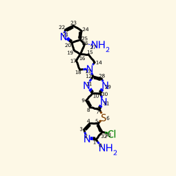 Nc1nccc(Sc2ccc3nc(N4CCC5(CC4)Cc4ncccc4[C@@H]5N)cnc3n2)c1Cl